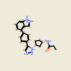 CCC(=O)N[C@H]1CC[C@@H](n2nncc2-c2ccc(-c3cccc4[nH]ncc34)cc2)C1